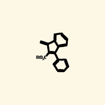 C=C1C(C(=O)OCC)=C(c2ccccc2)c2ccccc21